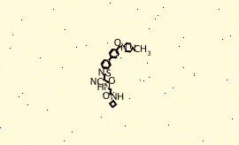 CN1CCN(C(=O)c2ccc(-c3ccc4nc(C(C#N)C(=O)NCC(=O)NC5CCC5)sc4c3)cc2)CC1